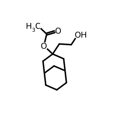 CC(=O)OC1(CCO)CC2CCCC(C2)C1